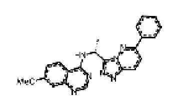 COc1ccc2c(N[C@H](C)c3nnc4ccc(-c5ccccc5)nn34)ncnc2c1